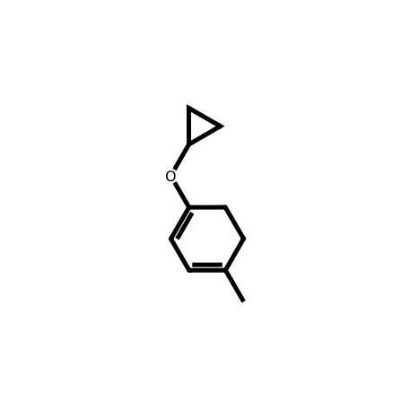 CC1=CC=C(OC2CC2)CC1